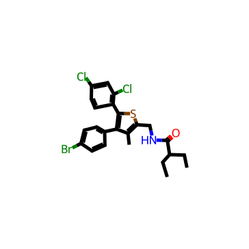 CCC(CC)C(=O)NCc1sc(-c2ccc(Cl)cc2Cl)c(-c2ccc(Br)cc2)c1C